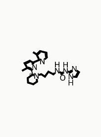 Cc1cccnc1-c1ccc(C)c([C@@H]2CCCCN2CCCCNC(=O)Nc2ncc[nH]2)n1